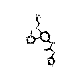 Cn1nccc1-c1cc(NC(=O)Oc2cscn2)ccc1OCCN